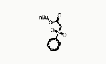 CCCCOC(=O)CS(=O)(=O)c1ccccc1